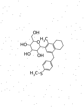 CSc1ccc(Cc2cc(C3OC(CO)C(O)C(O)C3O)c(C)c3c2CCCC3)cc1